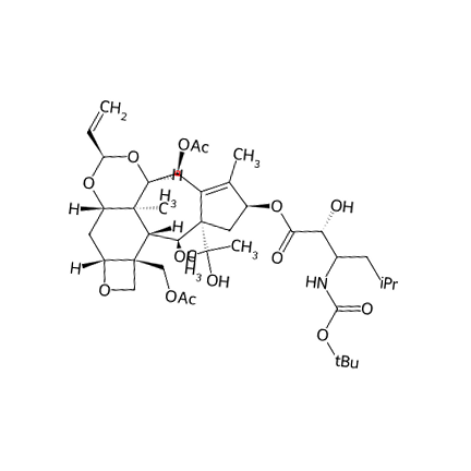 C=C[C@@H]1O[C@H]2C[C@H]3OC[C@@]3(COC(C)=O)[C@H]3[C@H](O)[C@]4(C(C)(C)O)C[C@H](OC(=O)[C@H](O)C(CC(C)C)NC(=O)OC(C)(C)C)C(C)=C4[C@H](OC(C)=O)[C@H](O1)[C@]23C